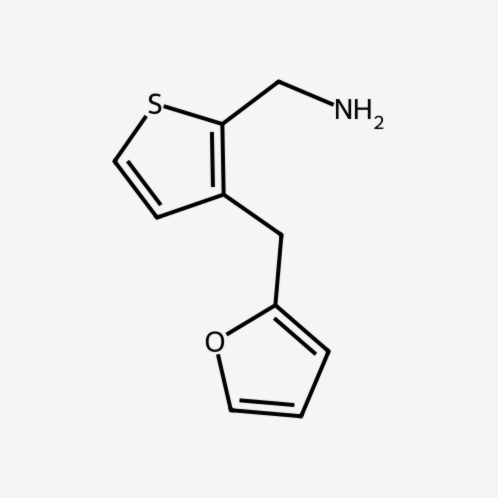 NCc1sccc1Cc1ccco1